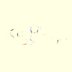 CC(=O)NCCOc1nonc1-c1noc(=O)n1C1Cc2ccc(F)cc21